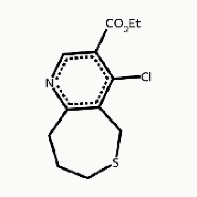 CCOC(=O)c1cnc2c(c1Cl)CSCCC2